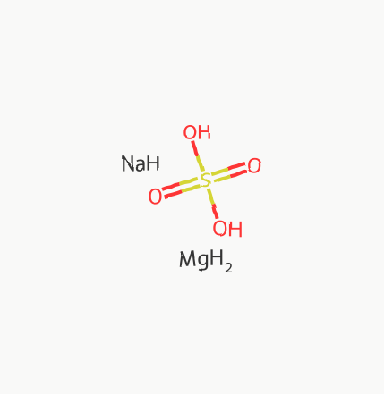 O=S(=O)(O)O.[MgH2].[NaH]